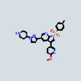 COc1ccc(-c2cn(S(=O)(=O)c3ccc(C)cc3)c3ncc(-c4ccn(C5CCNCC5)n4)cc23)cn1